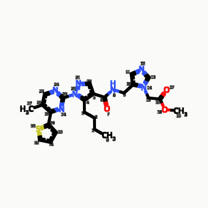 CCCCc1c(C(=O)NCc2cncn2CC(=O)OC)cnn1-c1ncc(C)c(-c2cccs2)n1